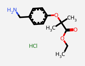 CCOC(=O)C(C)(C)Oc1ccc(CN)cc1.Cl